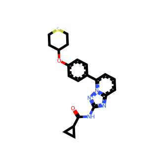 O=C(Nc1nc2cccc(-c3ccc(OC4CCSCC4)cc3)n2n1)C1CC1